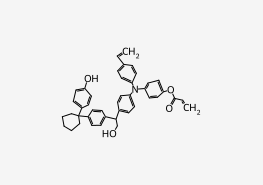 C=CC(=O)Oc1ccc(N(c2ccc(C=C)cc2)c2ccc(C(CO)c3ccc(C4(c5ccc(O)cc5)CCCCC4)cc3)cc2)cc1